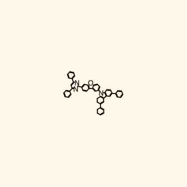 C1=CCCC(C2=Cc3c(n(-c4ccc5oc6cc(-c7nc(-c8ccccc8)cc(-c8ccccc8)n7)ccc6c5c4)c4ccc(-c5ccccc5)cc34)CC2)=C1